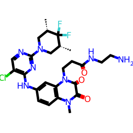 C[C@@H]1CN(c2ncc(Cl)c(Nc3ccc4c(c3)n(CCC(=O)NCCN)c(=O)c(=O)n4C)n2)C[C@H](C)C1(F)F